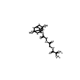 C=C(C)C(=O)OCC(=O)OCC(=O)OC12CC3CC(O)(CC(O)(C3)C1)C2